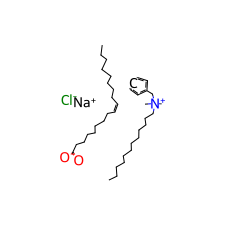 CCCCCCCC/C=C\CCCCCCCC(=O)[O-].CCCCCCCCCCCC[N+](C)(C)Cc1ccccc1.[Cl-].[Na+]